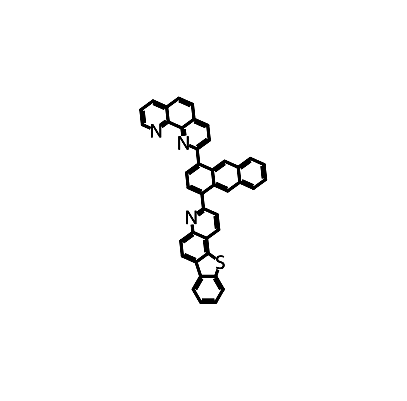 c1ccc2cc3c(-c4ccc5ccc6cccnc6c5n4)ccc(-c4ccc5c(ccc6c7ccccc7sc56)n4)c3cc2c1